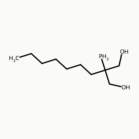 CCCCCCCC(P)(CO)CO